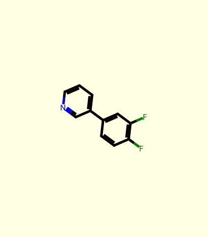 Fc1ccc(-c2cccnc2)cc1F